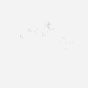 COCCCOc1cc(C[C@@H](C[C@H](N)[C@@H](O)C[C@@H](C)C(=O)NCCN2CCOCC2)C(C)C)ccc1OC.Cl.Cl